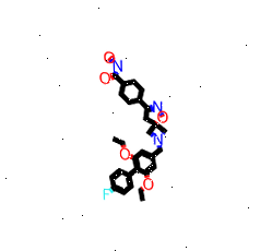 CCOc1cc(CN2CC3(CC(C4CCC(C(=O)N=O)CC4)=NO3)C2)cc(OCC)c1-c1ccc(F)cc1